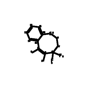 C/C1=C(\C)C(F)(F)CCSc2ccccc21